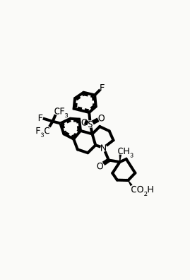 C[C@]1(C(=O)N2CCCC3(S(=O)(=O)c4cccc(F)c4)c4ccc(C(F)(C(F)(F)F)C(F)(F)F)cc4CCC23)CC[C@H](C(=O)O)CC1